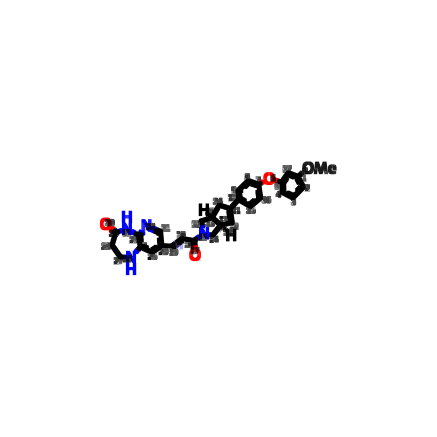 COc1cccc(Oc2ccc(C3=C[C@H]4CN(C(=O)/C=C/c5cnc6c(c5)NCCC(=O)N6)C[C@H]4C3)cc2)c1